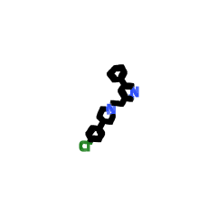 Clc1ccc(C2CCN(CCc3cncc(-c4ccccc4)c3)CC2)cc1